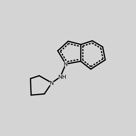 c1ccc2c(c1)ccn2NN1CCCC1